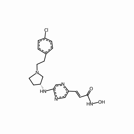 O=C(C=Cc1cnc(N[C@@H]2CCN(CCc3ccc(Cl)cc3)C2)cn1)NO